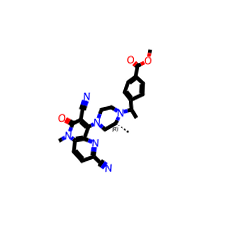 COC(=O)c1ccc(C(C)N2CCN(c3c(C#N)c(=O)n(C)c4ccc(C#N)nc34)C[C@H]2C)cc1